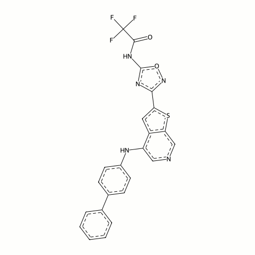 O=C(Nc1nc(-c2cc3c(Nc4ccc(-c5ccccc5)cc4)cncc3s2)no1)C(F)(F)F